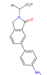 CC(C)C(C(=O)O)N1Cc2ccc(-c3ccc(N)cc3)cc2C1=O